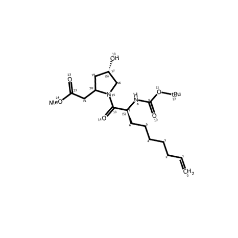 C=CCCCCC[C@H](NC(=O)OC(C)(C)C)C(=O)N1C[C@@H](O)CC1CC(=O)OC